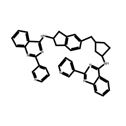 c1cncc(-c2nc(NC3Cc4ccc(CC5CCC(Nc6nc(-c7cccnc7)nc7ccccc67)C5)cc4C3)c3ccccc3n2)c1